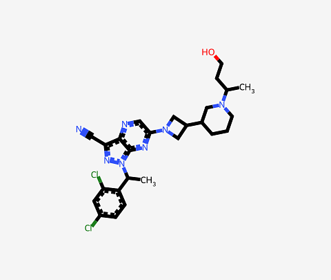 CC(CCO)N1CCCC(C2CN(c3cnc4c(C#N)nn(C(C)c5ccc(Cl)cc5Cl)c4n3)C2)C1